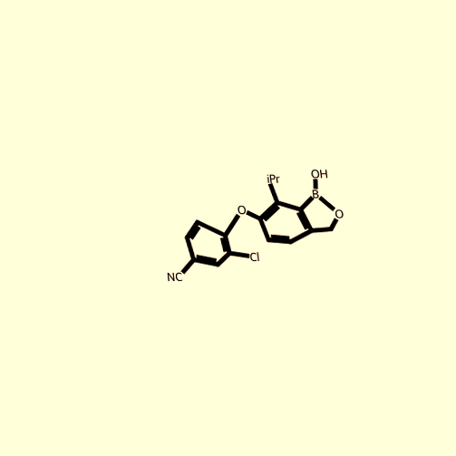 CC(C)c1c(Oc2ccc(C#N)cc2Cl)ccc2c1B(O)OC2